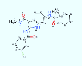 CNC(=O)c1c(NC(=O)c2cccc(F)c2)[nH]c2cc(NC(=O)C3(C)CCCCC3)ccc12